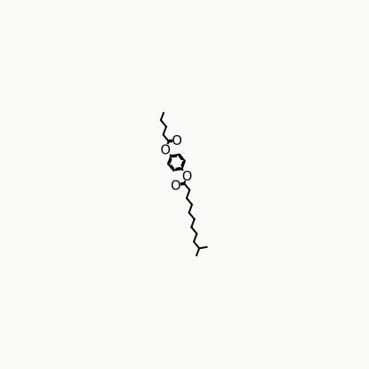 CCCCC(=O)Oc1ccc(OC(=O)CCCCCCCCC(C)C)cc1